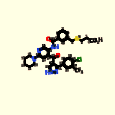 O=C(O)CCSCc1cccc(C(=O)Nc2cnc(N3CCCCC3)cc2C(=O)c2c[nH]nc2-c2ccc(Cl)c(C(F)(F)F)c2)c1